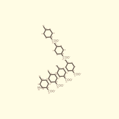 CC1CCC(C(=O)[O-])CC1.CC1CCC(C(=O)[O-])CC1.CC1CCC(C(=O)[O-])CC1.CC1CCC(C(=O)[O-])CC1.CC1CCC(C(=O)[O-])CC1.CC1CCC(C(=O)[O-])CC1.[Mo+6]